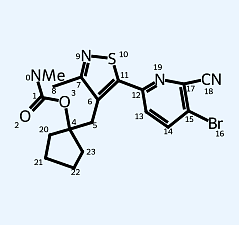 CNC(=O)OC1(Cc2c(C)nsc2-c2ccc(Br)c(C#N)n2)CCCC1